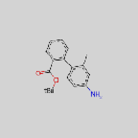 Cc1cc(N)ccc1-c1ccccc1C(=O)OC(C)(C)C